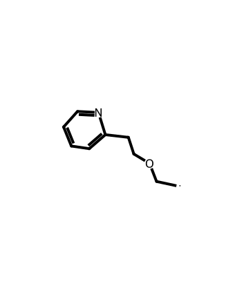 [CH2]COCCc1ccccn1